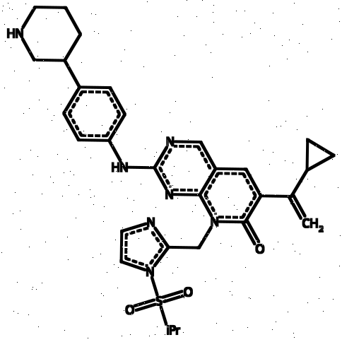 C=C(c1cc2cnc(Nc3ccc(C4CCCNC4)cc3)nc2n(Cc2nccn2S(=O)(=O)C(C)C)c1=O)C1CC1